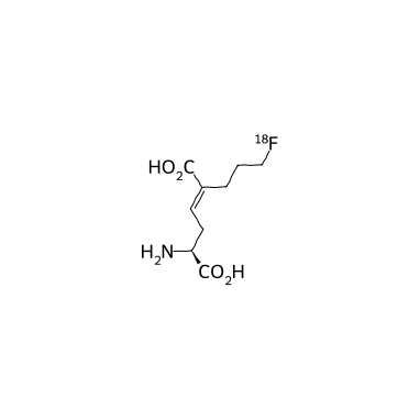 N[C@@H](C/C=C(\CCC[18F])C(=O)O)C(=O)O